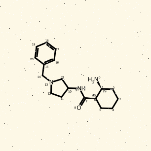 N[C@H]1CCCC[C@H]1C(=O)NC1CCN(Cc2ccccc2)C1